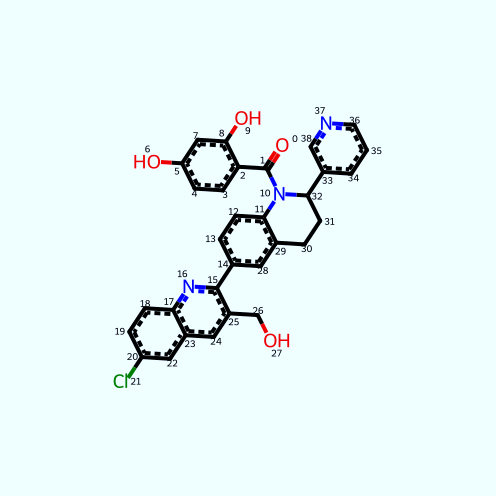 O=C(c1ccc(O)cc1O)N1c2ccc(-c3nc4ccc(Cl)cc4cc3CO)cc2CCC1c1cccnc1